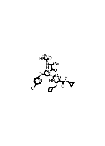 CC(C)(C)NC(=O)N[C@H](C(=O)N1CC(Oc2ccc(Cl)cn2)C[C@H]1C(=O)N[C@@H](CC1CCC1)C(=O)C(=O)NC1CC1)C(C)(C)C